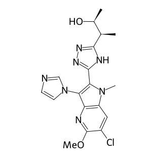 COc1nc2c(-n3ccnc3)c(-c3nnc([C@H](C)[C@H](C)O)[nH]3)n(C)c2cc1Cl